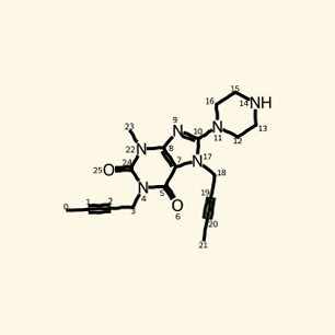 CC#CCn1c(=O)c2c(nc(N3CCNCC3)n2CC#CC)n(C)c1=O